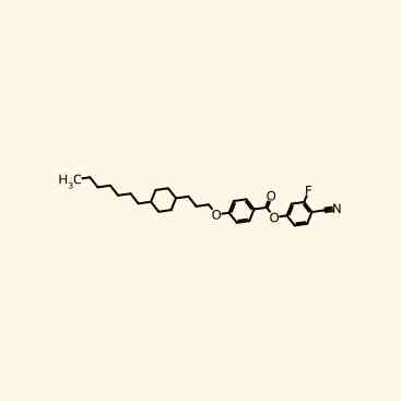 CCCCCCCC1CCC(CCCOc2ccc(C(=O)Oc3ccc(C#N)c(F)c3)cc2)CC1